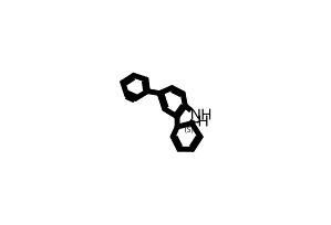 c1cccc(-c2ccc3c(c2)C2C=CC=C[C@@H]2N3)c#1